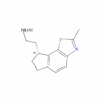 CC(=O)NCC[C@H]1CCc2ccc3nc(C)sc3c21